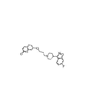 O=c1ccc2ccc(OCCCN3CCC(c4noc5cc(F)ccc45)CC3)cc2o1